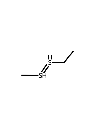 CC[SH]=[SH]C